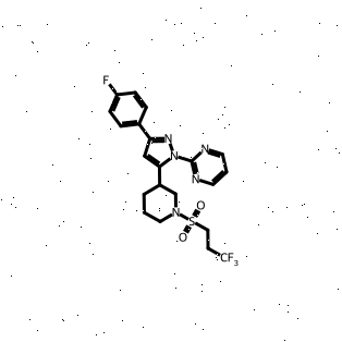 O=S(=O)(CCC(F)(F)F)N1CCCC(c2cc(-c3ccc(F)cc3)nn2-c2ncccn2)C1